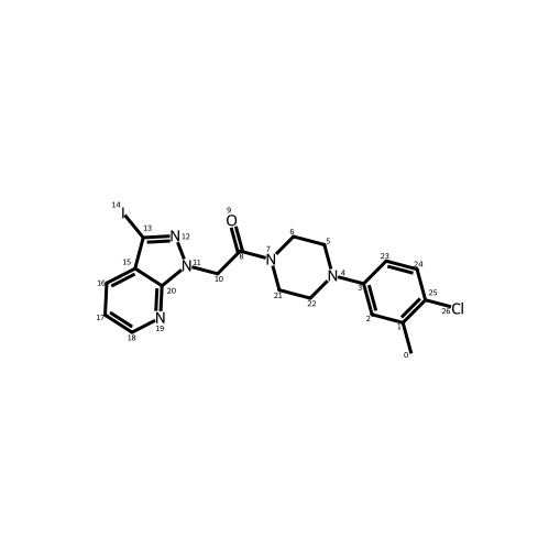 Cc1cc(N2CCN(C(=O)Cn3nc(I)c4cccnc43)CC2)ccc1Cl